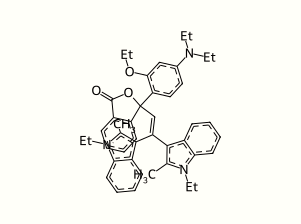 CCOc1cc(N(CC)CC)ccc1C1(C=C(c2c(C)n(CC)c3ccccc23)c2c(C)n(CC)c3ccccc23)OC(=O)c2ccccc21